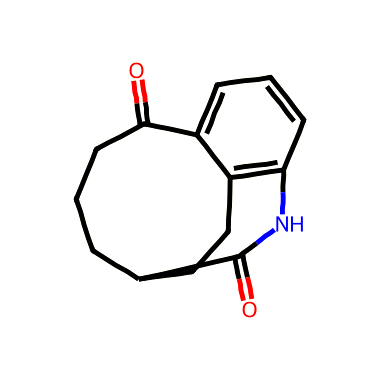 O=C1CCCC2CCc3c(cccc31)NC2=O